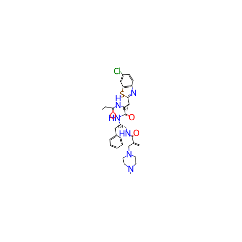 C=C(CN1CCN(C)CC1)C(=O)NC[C@H](Cc1ccccc1)NC(=O)[C@H](Cc1nc2ccc(Cl)cc2s1)NC(=O)CC